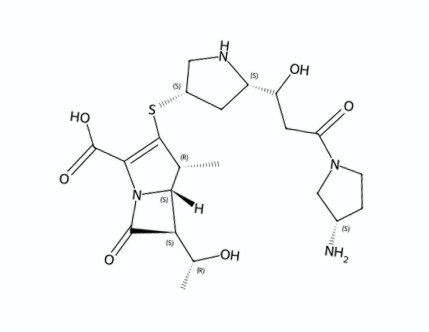 C[C@@H](O)[C@H]1C(=O)N2C(C(=O)O)=C(S[C@@H]3CN[C@H](C(O)CC(=O)N4CC[C@H](N)C4)C3)[C@H](C)[C@H]12